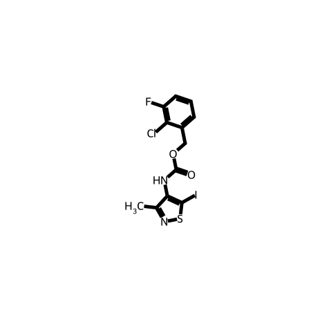 Cc1nsc(I)c1NC(=O)OCc1cccc(F)c1Cl